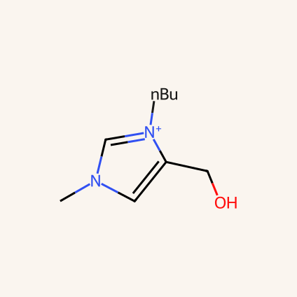 CCCC[n+]1cn(C)cc1CO